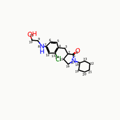 O=C1C(Cc2ccc(NCCO)cc2Cl)CCN1C1CCCCC1